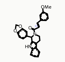 COc1cccc(/C=C/C(=O)N2CCc3c([nH]c4ccccc34)C2c2ccc3c(c2)OCO3)c1